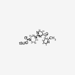 Cc1ncccc1C(=O)c1ccnc(N2CCCN(C(=O)OC(C)(C)C)CC2)n1